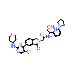 O=C(CN1Cc2ccc(-c3nc(NC4CCOCC4)ncc3Cl)cc2C1=O)NC(CO)c1cccc(N2CCCC2)n1